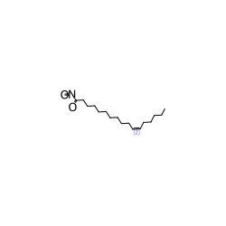 CCCCC/C=C\CCCCCCCCCC(=O)N=O